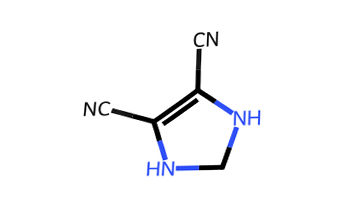 N#CC1=C(C#N)NCN1